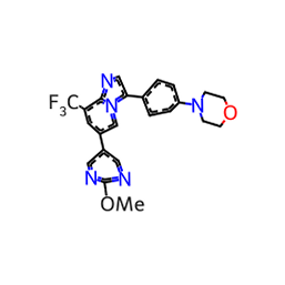 COc1ncc(-c2cc(C(F)(F)F)c3ncc(-c4ccc(N5CCOCC5)cc4)n3c2)cn1